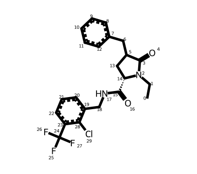 CCN1C(=O)C(Cc2ccccc2)C[C@H]1C(=O)NCc1cccc(C(F)(F)F)c1Cl